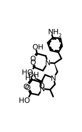 CC(CN(CC(=O)O)C[C@H](Cc1ccc(N)cc1)N(CC(=O)O)CC(=O)O)N(CC(=O)O)CC(=O)O